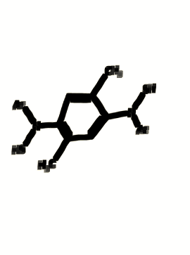 CC(=O)N(S)c1cc(C)c(N(S)C(C)=O)cc1C